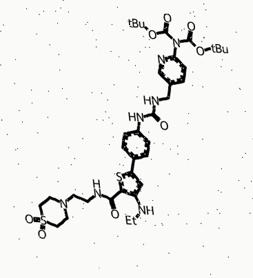 CCNc1cc(-c2ccc(NC(=O)NCc3ccc(N(C(=O)OC(C)(C)C)C(=O)OC(C)(C)C)nc3)cc2)sc1C(=O)NCCN1CCS(=O)(=O)CC1